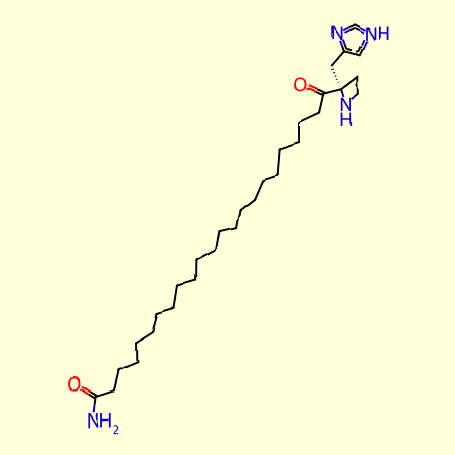 NC(=O)CCCCCCCCCCCCCCCCCCCCCC(=O)[C@@]1(Cc2c[nH]cn2)CCN1